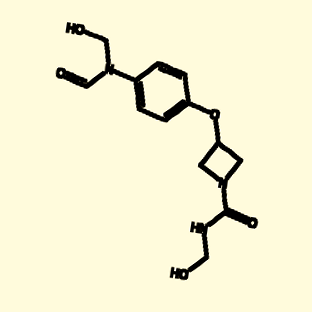 O=CN(CO)c1ccc(OC2CN(C(=O)NCO)C2)cc1